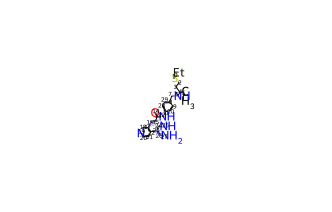 CCSCCC(C)NCc1ccc(NC(=O)/C=C/c2cnccc2/C(C=N)=C/N)cc1